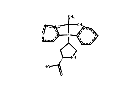 CC(C)(C)[Si](c1ccccc1)(c1ccccc1)[C@H]1CN[C@H](C(=O)O)C1